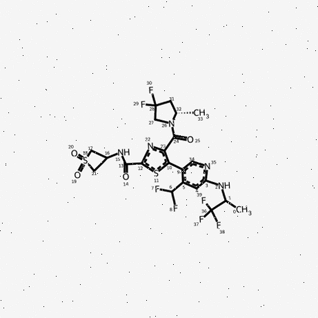 CC(Nc1cc(C(F)F)c(-c2sc(C(=O)NC3CS(=O)(=O)C3)nc2C(=O)N2CC(F)(F)C[C@@H]2C)cn1)C(F)(F)F